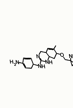 CC1=CC2CN=C(NC3C=CC(N)=CC3)NC2CC1OCC1(N)CC1